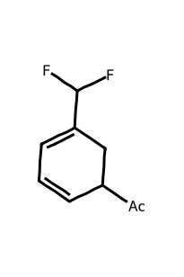 CC(=O)C1C=CC=C(C(F)F)C1